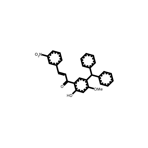 COc1cc(O)c(C(=O)/C=C/c2cccc([N+](=O)[O-])c2)cc1C(c1ccccc1)c1ccccc1